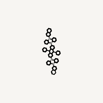 C1=Cc2cc(N3c4ccccc4N(c4ccc5c(-c6ccccc6)c6cc(N7c8ccccc8N(c8ccc9ccccc9c8)c8ccccc87)ccc6c(-c6ccccc6)c5c4)c4ccccc43)ccc2CC1